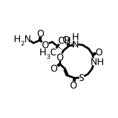 CC(C)(COC(=O)CN)[C@H]1OC(=O)/C=C/C(=O)SCCNC(=O)CCNC1=O